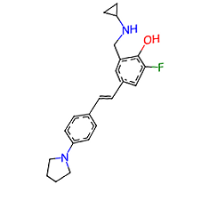 Oc1c(F)cc(C=Cc2ccc(N3CCCC3)cc2)cc1CNC1CC1